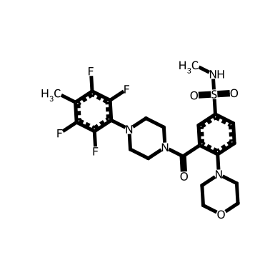 CNS(=O)(=O)c1ccc(N2CCOCC2)c(C(=O)N2CCN(c3c(F)c(F)c(C)c(F)c3F)CC2)c1